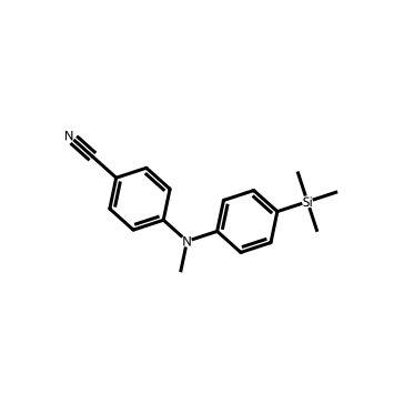 CN(c1ccc(C#N)cc1)c1ccc([Si](C)(C)C)cc1